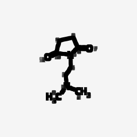 CN(C)CCN1C(=O)CCC1=O